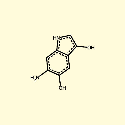 Nc1cc2[nH]cc(O)c2cc1O